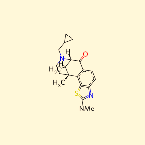 CNc1nc2ccc3c(c2s1)[C@]1(C)CCN(CC2CC2)[C@H](C3=O)[C@@H]1C